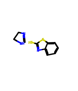 C1=NCCN1.Sc1nc2ccccc2s1